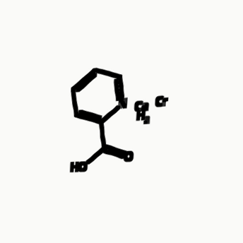 O=C(O)c1ccccn1.[CaH2].[Cr]